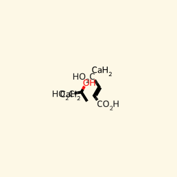 CC(O)C(=O)O.O=C(O)/C=C/C(=O)O.[CaH2].[CaH2]